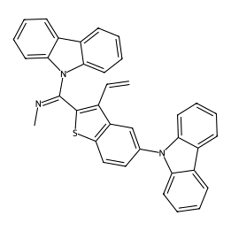 C=Cc1c(/C(=N\C)n2c3ccccc3c3ccccc32)sc2ccc(-n3c4ccccc4c4ccccc43)cc12